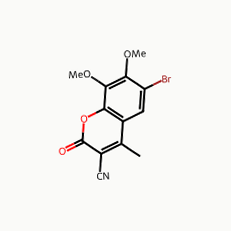 COc1c(Br)cc2c(C)c(C#N)c(=O)oc2c1OC